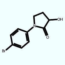 O=C1C(O)CCN1c1ccc(Br)cc1